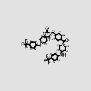 O=C1OC2(CCN(Cc3ccc(C(F)(F)F)cc3)CC2)CN1CC1CCC(C(=O)N2CCC(Nc3ccc(C(F)(F)F)cc3)CC2)CC1